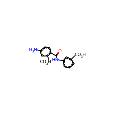 Nc1ccc(C(=O)Nc2cccc(C(=O)O)c2)c(C(=O)O)c1